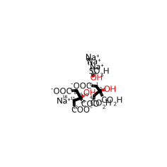 O=C([O-])CC(O)(CC(=O)O)C(=O)O.O=C([O-])CC(O)(CC(=O)[O-])C(=O)[O-].O=S(=O)(O)O.[Na+].[Na+].[Na+].[Na+]